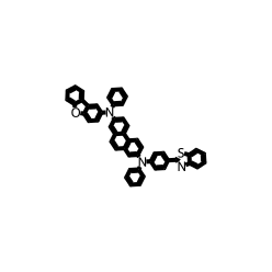 c1ccc(N(c2ccc(-c3nc4ccccc4s3)cc2)c2ccc3c(ccc4cc(N(c5ccccc5)c5ccc6oc7ccccc7c6c5)ccc43)c2)cc1